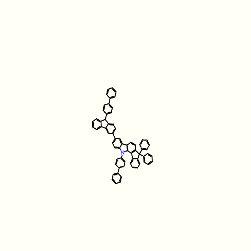 c1ccc(-c2ccc(C3c4ccccc4-c4cc(-c5ccc6c(c5)c5ccc7c(c5n6-c5ccc(-c6ccccc6)cc5)-c5ccccc5C7(c5ccccc5)c5ccccc5)ccc43)cc2)cc1